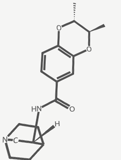 C[C@H]1Oc2ccc(C(=O)N[C@H]3CN4CCC3CC4)cc2O[C@@H]1C